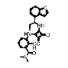 CCC(Nc1c(Nc2cccc(C(=O)N(C)C)c2O)c(=O)c1=O)c1cccc2occc12